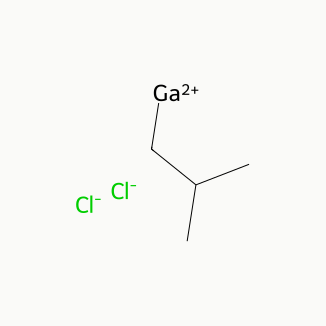 CC(C)[CH2][Ga+2].[Cl-].[Cl-]